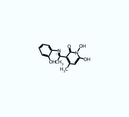 C/C(=N\c1ccccc1O)c1c(C)cc(O)n(O)c1=O